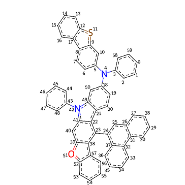 c1ccc(N(c2ccc3c(c2)sc2ccccc23)c2ccc3c4c(-c5cc6ccccc6c6ccccc56)c5c(cc4n(-c4ccccc4)c3c2)oc2ccccc25)cc1